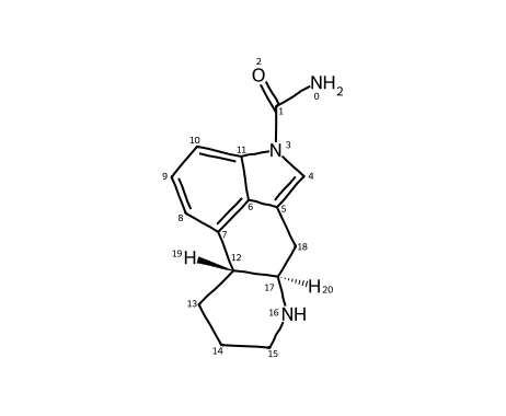 NC(=O)n1cc2c3c(cccc31)[C@H]1CCCN[C@@H]1C2